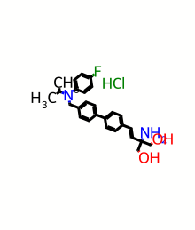 CC(C)N(Cc1ccc(-c2ccc(C=CC(N)(CO)CO)cc2)cc1)c1ccc(F)cc1.Cl